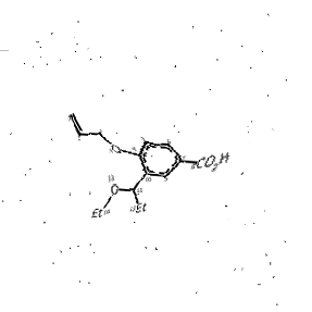 C=CCOc1ccc(C(=O)O)cc1C(CC)OCC